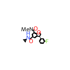 CNC(=O)c1cc(C(=O)NC2CC2)cc2c1OC[C@H]2c1cccc(F)c1